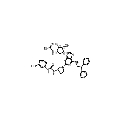 CCC(=O)N[C@H]1C[C@@H](n2cnc3c(NCC(c4ccccc4)c4ccccc4)nc(N4CCC(NC(=O)Nc5cccc(O)c5)C4)nc32)[C@H](O)[C@@H]1O